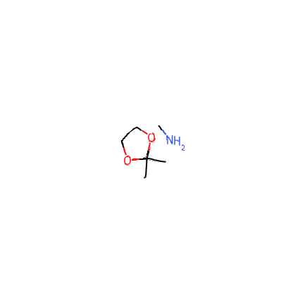 CC1(C)OCCO1.CN